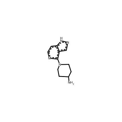 NC1CCN(c2nccc3[nH]ncc23)CC1